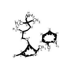 Cc1nc2c(F)c-2c1OC[C@@H](C)CC(C)(C)N.Clc1ccccn1